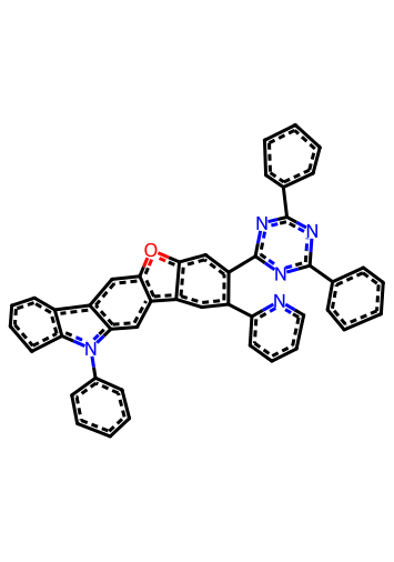 c1ccc(-c2nc(-c3ccccc3)nc(-c3cc4oc5cc6c7ccccc7n(-c7ccccc7)c6cc5c4cc3-c3ccccn3)n2)cc1